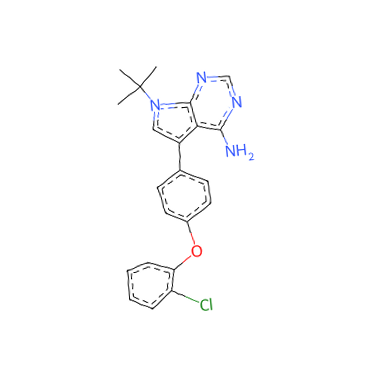 CC(C)(C)n1cc(-c2ccc(Oc3ccccc3Cl)cc2)c2c(N)ncnc21